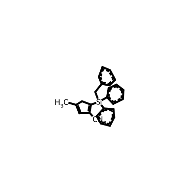 CC1=CC(C)=C([Si](Cc2ccccc2)(c2ccccc2)c2ccccc2)C1